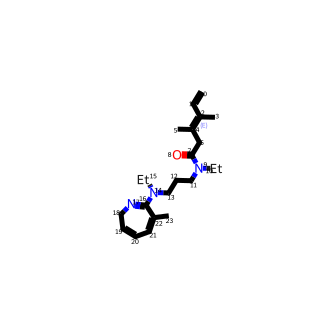 C=C/C(C)=C(\C)CC(=O)N(CC)CCCN(CC)C1=NCC=CC=C1C